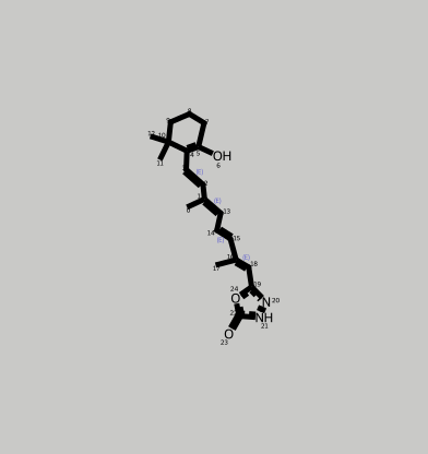 CC(/C=C/C1=C(O)CCCC1(C)C)=C\C=C\C(C)=C\c1n[nH]c(=O)o1